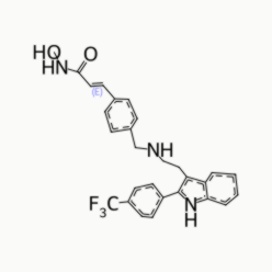 O=C(/C=C/c1ccc(CNCCc2c(-c3ccc(C(F)(F)F)cc3)[nH]c3ccccc23)cc1)NO